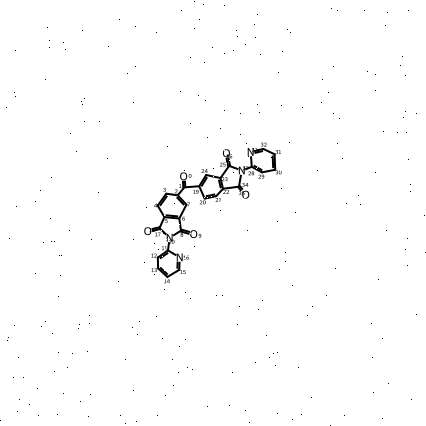 O=C(c1ccc2c(c1)C(=O)N(c1ccccn1)C2=O)c1ccc2c(c1)C(=O)N(c1ccccn1)C2=O